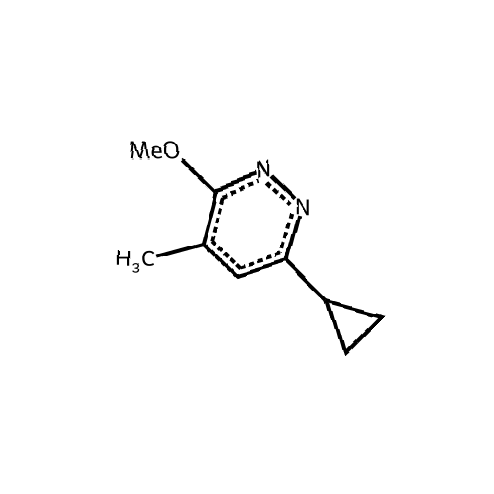 COc1nnc(C2CC2)cc1C